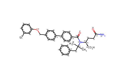 CCc1cccc(OCc2ccc(-c3ccc(C(=O)N([C@@H](CCC(N)=O)C(=O)O)C(C)(C)Cc4ccccc4)cc3)cc2)c1